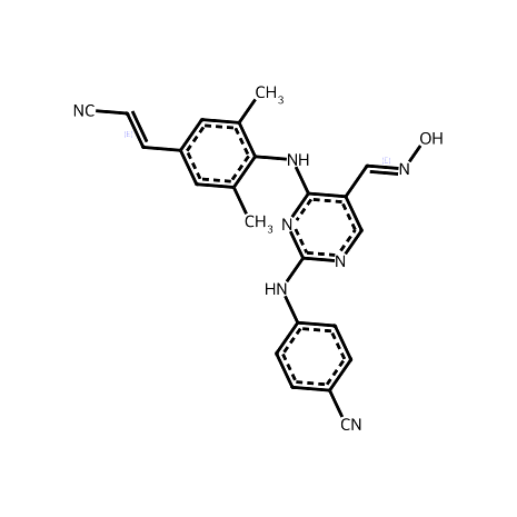 Cc1cc(/C=C/C#N)cc(C)c1Nc1nc(Nc2ccc(C#N)cc2)ncc1/C=N/O